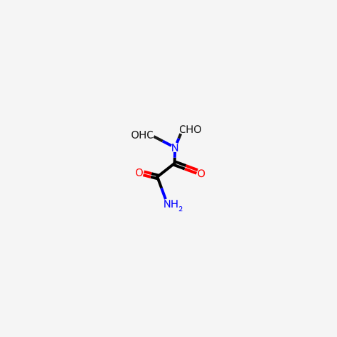 NC(=O)C(=O)N(C=O)C=O